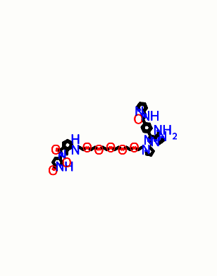 Nc1nccn2c([C@@H]3CCCN3CCOCCOCCOCCOCCOCCNc3cccc4c3CN(C3CCC(=O)NC3=O)C4=O)nc(-c3ccc(C(=O)Nc4ccccn4)cc3)c12